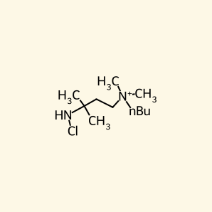 CCCC[N+](C)(C)CCC(C)(C)NCl